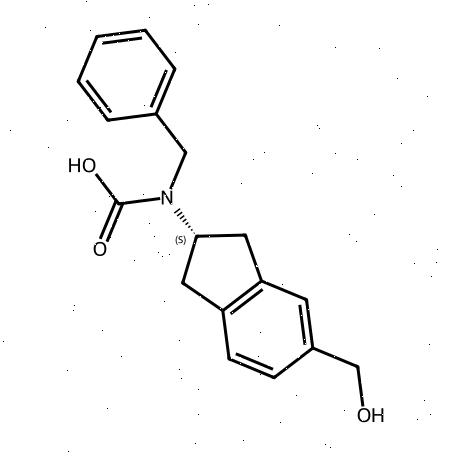 O=C(O)N(Cc1ccccc1)[C@H]1Cc2ccc(CO)cc2C1